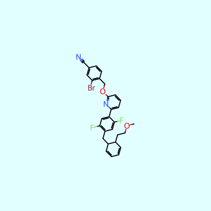 COCCC1C=CC=CC1Cc1cc(F)c(-c2cccc(OCc3ccc(C#N)cc3Br)n2)cc1F